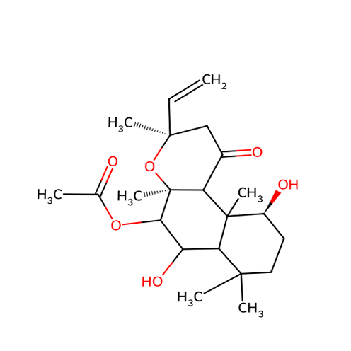 C=C[C@@]1(C)CC(=O)C2C3(C)C(C(O)C(OC(C)=O)[C@@]2(C)O1)C(C)(C)CC[C@@H]3O